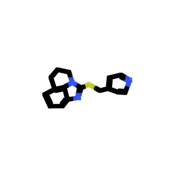 c1cc2c3c(c1)nc(SCc1ccncc1)n3CCC2